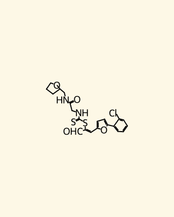 O=C/C(=C/c1ccc(-c2ccccc2Cl)o1)SC(=S)NCC(=O)NCC1CCCO1